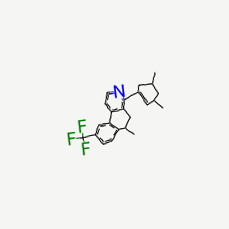 CC1C=C(c2nccc3c2CC(C)c2ccc(C(F)(F)F)cc2-3)CC(C)C1